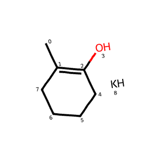 CC1=C(O)CCCC1.[KH]